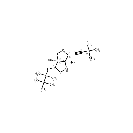 CC(C)(C)[Si](C)(C)O[C@@H]1CO[C@H]2[C@@H]1OC[C@@H]2C#C[Si](C)(C)C